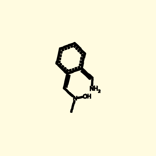 CN(O)/C=c1/cccc/c1=C/N